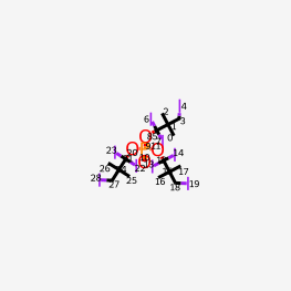 CC(C)(CI)C(I)(I)OP(=O)(OC(I)(I)C(C)(C)CI)OC(I)(I)C(C)(C)CI